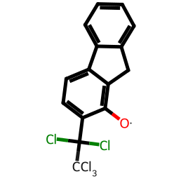 [O]c1c(C(Cl)(Cl)C(Cl)(Cl)Cl)ccc2c1Cc1ccccc1-2